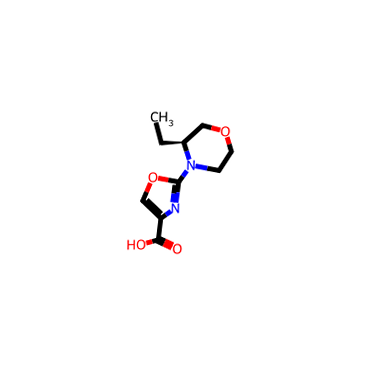 CC[C@H]1COCCN1c1nc(C(=O)O)co1